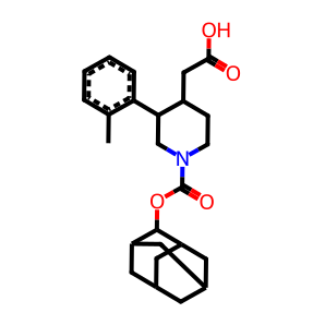 Cc1ccccc1C1CN(C(=O)OC2C3CC4CC(C3)CC2C4)CCC1CC(=O)O